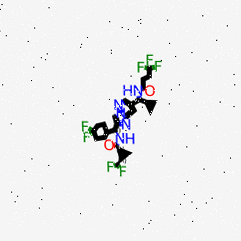 O=C(CCC(F)(F)F)NC(c1cnn2cc([C@@H](NC(=O)[C@@H]3C[C@H]3C(F)F)C3CCC(F)(F)CC3)nc2c1)C1CC1